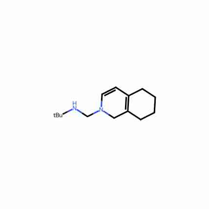 CC(C)(C)NCN1C=CC2=C([CH]CCC2)C1